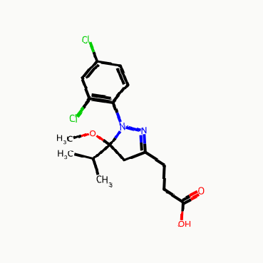 COC1(C(C)C)CC(CCC(=O)O)=NN1c1ccc(Cl)cc1Cl